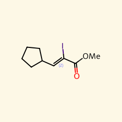 COC(=O)/C(I)=C/C1CCCC1